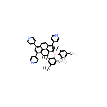 Cc1cc(C)c(B(c2cc(-c3ccncc3)c3ccc4c(-c5ccncc5)cc(-c5ccncc5)c5c4c3c2CC5)c2c(C)cc(C)cc2C)c(C)c1